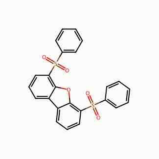 O=S(=O)(c1ccccc1)c1cccc2c1oc1c(S(=O)(=O)c3ccccc3)cccc12